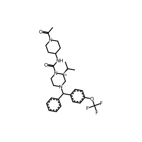 CC(=O)N1CCC(NC(=O)N2CCN(C(c3ccccc3)c3ccc(OC(F)(F)F)cc3)C[C@@H]2C(C)C)CC1